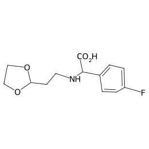 O=C(O)C(NCCC1OCCO1)c1ccc(F)cc1